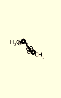 COc1cccc(CCCOS(=O)(=O)c2ccc(C)cc2)c1